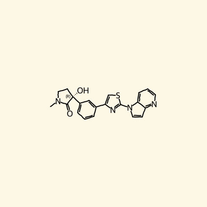 CN1CC[C@@](O)(c2cccc(-c3csc(-n4ccc5ncccc54)n3)c2)C1=O